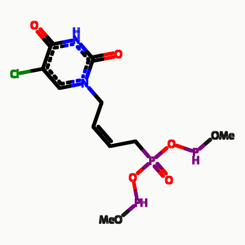 COPOP(=O)(C/C=C\Cn1cc(Cl)c(=O)[nH]c1=O)OPOC